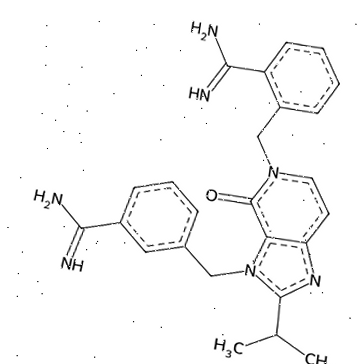 CC(C)c1nc2ccn(Cc3ccccc3C(=N)N)c(=O)c2n1Cc1cccc(C(=N)N)c1